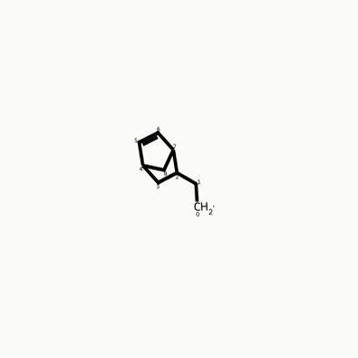 [CH2]CC1CC2C=CC1C2